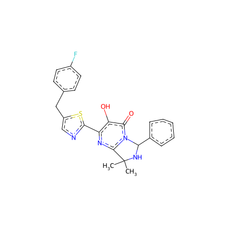 CC1(C)NC(c2ccccc2)n2c1nc(-c1ncc(Cc3ccc(F)cc3)s1)c(O)c2=O